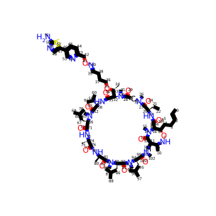 C/C=C/C[C@@H](C)[C@H]1ONC(C)[C@H]2C(=O)N(C)[C@H]1C(=O)N[C@@H](CC)C(=O)N(C)CC(=O)N(C)[C@@H]([C@@H](C)OCCC/C=N/OCc1ccc(-c3cnc(N)s3)cn1)C(=O)N[C@@H](C(C)C)C(=O)N(C)[C@@H](CC(C)C)C(=O)N[C@@H](C)C(=O)N[C@H](C)C(=O)N(C)[C@@H](CC(C)C)C(=O)N(C)[C@@H](CC(C)C)C(=O)N2C